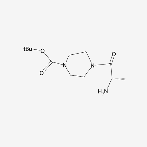 C[C@H](N)C(=O)N1CCN(C(=O)OC(C)(C)C)CC1